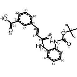 CC(C)(C)OC(=O)Nc1ccccc1NC(=O)/C=C/c1cccc(C(=O)O)c1